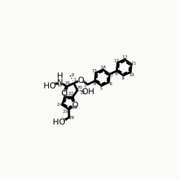 C[C@@](OCc1ccc(-c2ccccc2)cc1)(C(=O)NO)[C@H](O)c1ccc(CO)o1